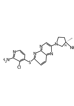 C[C@@]1(N)CCN(c2cnc3nc(Sc4ccnc(N)c4Cl)ccc3n2)C1